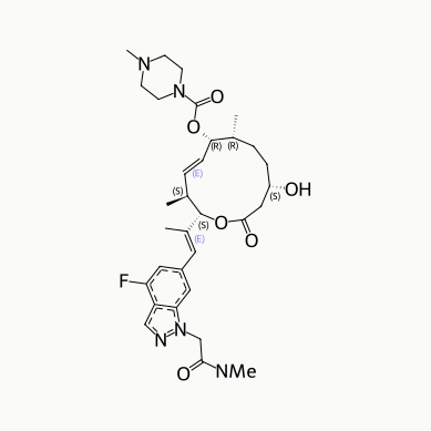 CNC(=O)Cn1ncc2c(F)cc(/C=C(\C)[C@H]3OC(=O)C[C@@H](O)CC[C@@H](C)[C@@H](OC(=O)N4CCN(C)CC4)/C=C/[C@@H]3C)cc21